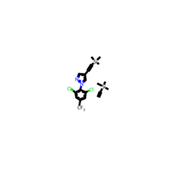 C#C[Si](C)(C)C.C[Si](C)(C)C#Cc1cnn(-c2c(Cl)cc(C(F)(F)F)cc2Cl)c1